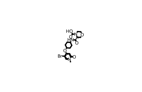 Cn1cc(Br)c(OC2CCC(NC(=O)[C@@H]3COCCN3C(=O)O)CC2)cc1=O